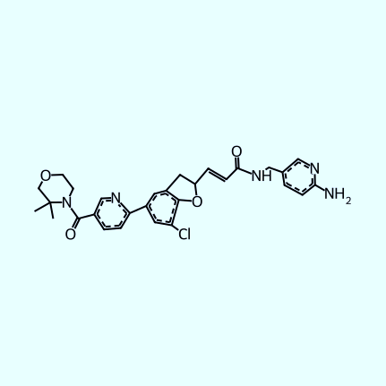 CC1(C)COCCN1C(=O)c1ccc(-c2cc(Cl)c3c(c2)CC(/C=C/C(=O)NCc2ccc(N)nc2)O3)nc1